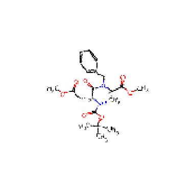 COC(=O)C[C@@H](NC(=O)OC(C)(C)C)C(=O)N(Cc1ccccc1)[C@@H](C)C(=O)OC